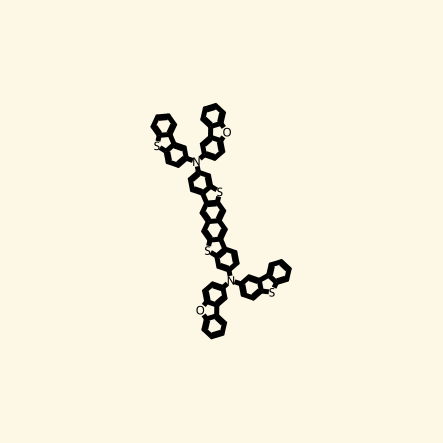 c1ccc2c(c1)oc1ccc(N(c3ccc4c(c3)sc3cc5cc6c(cc5cc34)sc3cc(N(c4ccc5oc7ccccc7c5c4)c4ccc5sc7ccccc7c5c4)ccc36)c3ccc4sc5ccccc5c4c3)cc12